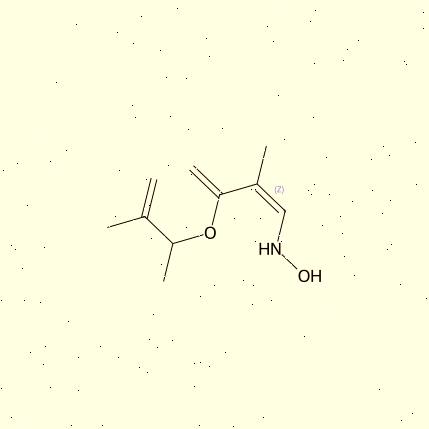 C=C(OC(C)C(=C)C)/C(C)=C\NO